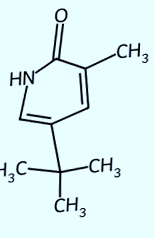 Cc1cc(C(C)(C)C)c[nH]c1=O